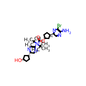 CC(C)(C)[N+](C(=O)O[C@H]1CC[C@@H](c2cnc(N)c(Br)n2)C1)(c1cnc([C@@H]2CC[C@H](O)C2)cn1)C(C)(C)C